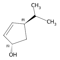 CC(C)[C@@H]1C=C[C@@H](O)C1